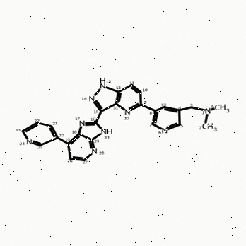 CN(C)Cc1cncc(-c2ccc3[nH]nc(-c4nc5c(-c6cccnc6)ccnc5[nH]4)c3n2)c1